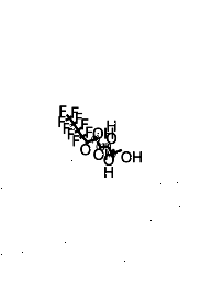 O=C([C@H](O)[C@@H](O)[C@H](O)[C@H](O)CO)C(F)(F)C(F)(F)C(F)(F)C(F)(F)F